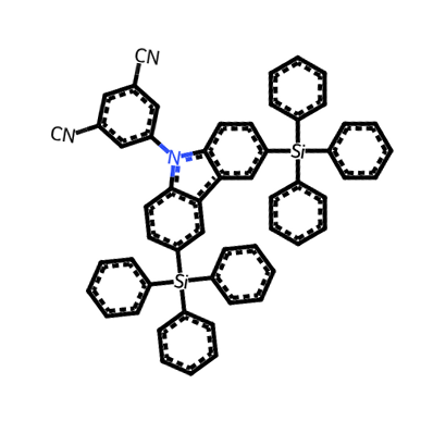 [C-]#[N+]c1cc(C#N)cc(-n2c3ccc([Si](c4ccccc4)(c4ccccc4)c4ccccc4)cc3c3cc([Si](c4ccccc4)(c4ccccc4)c4ccccc4)ccc32)c1